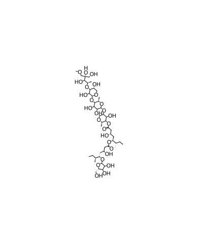 CC[C@H](C)[C@H](C[C@H](O)CC(=O)O[C@@H]1C(O)C(O[C@@H]2O[C@H](C)[C@H](O[C@@H]3OC[C@@H](O)C(O[C@H](C)C(O)[C@](O)(CO)COC)C3O)C(O)C2O)CO[C@@H]1C)OC(=O)C[C@@H](O)C[C@H](O[C@@H]1O[C@@H](CO)C(O)C1O)[C@@H](C)CC